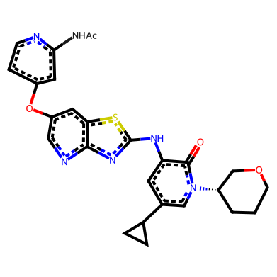 CC(=O)Nc1cc(Oc2cnc3nc(Nc4cc(C5CC5)cn([C@H]5CCCOC5)c4=O)sc3c2)ccn1